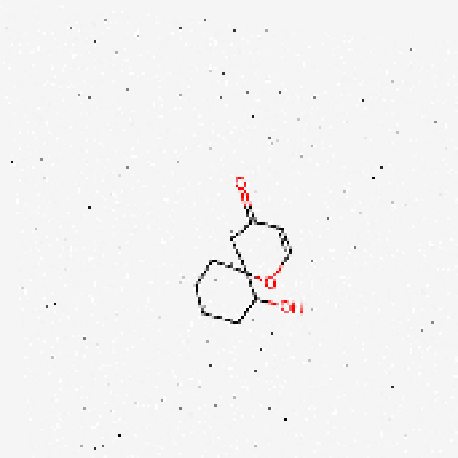 O=C1C=COC2(CCCCC2O)C1